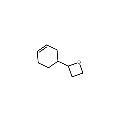 [CH]1CC(C2CC=CCC2)O1